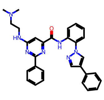 CN(C)CCNc1cc(C(=O)Nc2ccccc2-n2cc(-c3ccccc3)cn2)nc(-c2ccccc2)n1